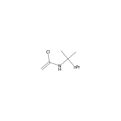 C=C(Cl)NC(C)(C)CCC